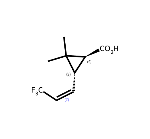 CC1(C)[C@@H](/C=C\C(F)(F)F)[C@@H]1C(=O)O